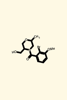 COc1cccc(C(=O)N2CC(C)OCC2CO)c1Br